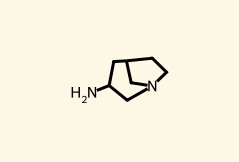 NC1CC2CCN(C1)C2